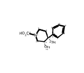 O=C(O)N1CC[C@@](O)(c2ccccc2)[C@H](O)C1